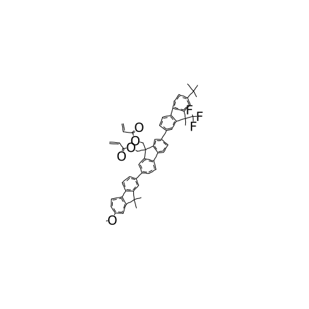 C=CC(=O)OCC1(COC(=O)C=C)c2cc(-c3ccc4c(c3)C(C)(C)c3cc(OC)ccc3-4)ccc2-c2ccc(-c3ccc4c(c3)C(C)(C(F)(F)F)c3cc(C(C)(C)C)ccc3-4)cc21